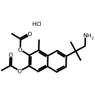 CC(=O)Oc1cc2ccc(C(C)(C)CN)cc2c(C)c1OC(C)=O.Cl